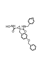 O=C(NO)[C@H]1C[C@]1(Cc1ccc(OCc2ccccc2)cc1)C(=O)NCc1ccncc1